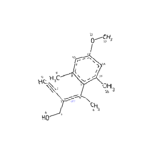 C#C/C(CO)=C(/C)c1c(C)cc(OC)cc1C